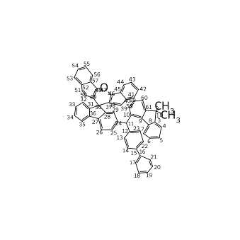 CC1(C)c2ccccc2-c2c(C(c3ccc(-c4ccccc4)cc3)c3ccc4c(c3)C3(c5ccccc5-4)c4ccc5ccccc5c4Oc4c3ccc3ccccc43)cccc21